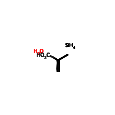 C=C(C)C(=O)O.O.[SiH4]